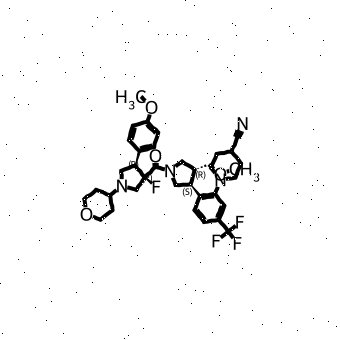 COC[C@H]1CN(C(=O)[C@]2(F)CN(C3CCOCC3)C[C@H]2c2ccc(OC)cc2)C[C@@H]1c1ccc(C(F)(F)F)cc1N1CCC(C#N)CC1